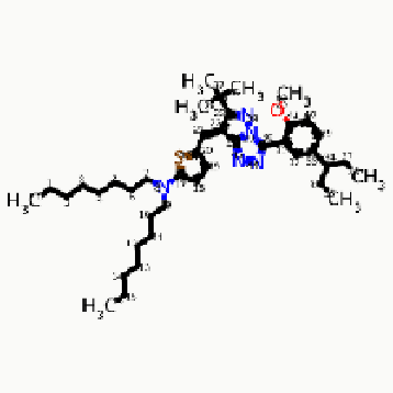 CCCCCCCCN(CCCCCCCC)c1ccc(/C=c2/c(C(C)(C)C)nn3c(-c4cc(C(CC)CC)ccc4OC)nnc23)s1